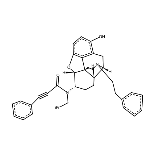 CC(C)CN(C(=O)C#Cc1ccccc1)[C@H]1CC[C@H]2[C@H]3Cc4c(O)ccc5c4[C@@]2(CCN3CCc2ccccc2)[C@H]1O5